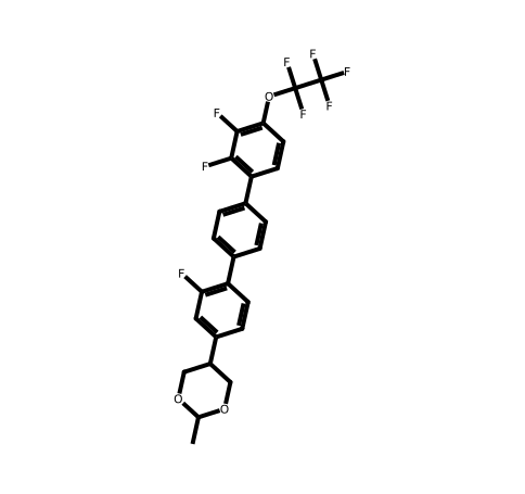 CC1OCC(c2ccc(-c3ccc(-c4ccc(OC(F)(F)C(F)(F)F)c(F)c4F)cc3)c(F)c2)CO1